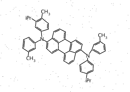 Cc1cccc(N(c2ccc(C(C)C)cc2)c2ccc3c4cccc5c(N(c6cccc(C)c6)c6ccc(C)c(C(C)C)c6)ccc(c6cccc2c36)c54)c1